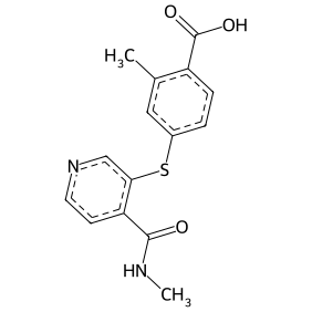 CNC(=O)c1ccncc1Sc1ccc(C(=O)O)c(C)c1